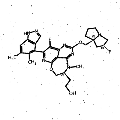 Cc1cc2[nH]ncc2c(-c2nc3c4c(nc(OC[C@@]56CCCN5C[C@H](F)C6)nc4c2F)N(C)[C@@H](CCO)CO3)c1C